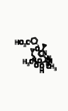 CN(CCC1CC1)C(=O)OC(O)c1c(-c2ccc(OC[C@H]3CCC[C@H](C(=O)O)C3)c(C3CC3)n2)nnn1C